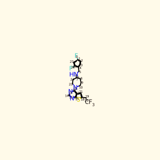 Fc1ccc(CN[C@@H]2CCCN(c3ncnc4sc(CC(F)(F)F)cc34)CC2)c(F)c1